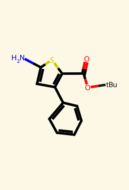 CC(C)(C)OC(=O)c1sc(N)cc1-c1ccccc1